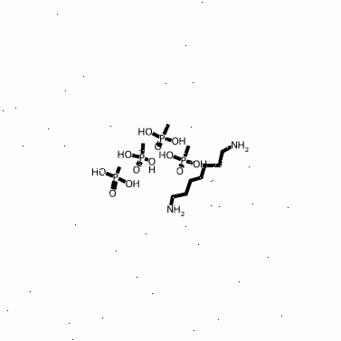 CP(=O)(O)O.CP(=O)(O)O.CP(=O)(O)O.CP(=O)(O)O.NCCCCCCCN